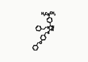 CN(C)c1ccc(-c2nnc(SCc3ccc(OCc4ccccc4)cc3)n2CCc2ccccc2)cc1